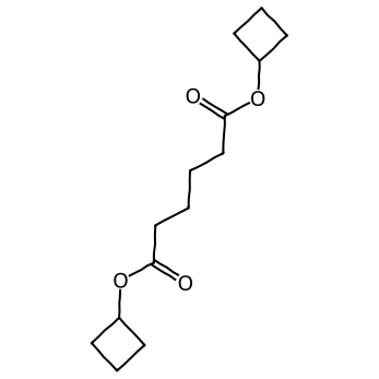 O=C(CCCCC(=O)OC1CCC1)OC1CCC1